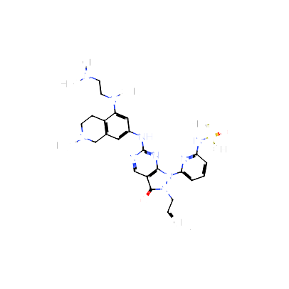 C=CCn1c(=O)c2cnc(Nc3cc4c(c(N(C)CCN(C)C)c3)CCN(C)C4)nc2n1-c1cccc(N[SH](C)(C)=O)n1